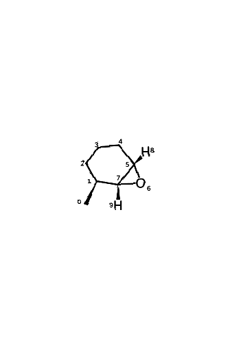 C[C@H]1CCC[C@@H]2O[C@@H]21